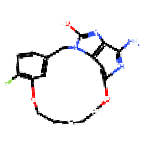 Nc1nc2cc3c1nc(O)n3Cc1ccc(F)c(c1)OCCCCCO2